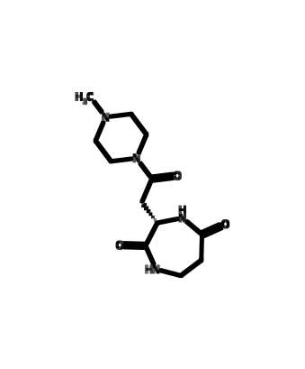 CN1CCN(C(=O)C[C@@H]2NC(=O)CCNC2=O)CC1